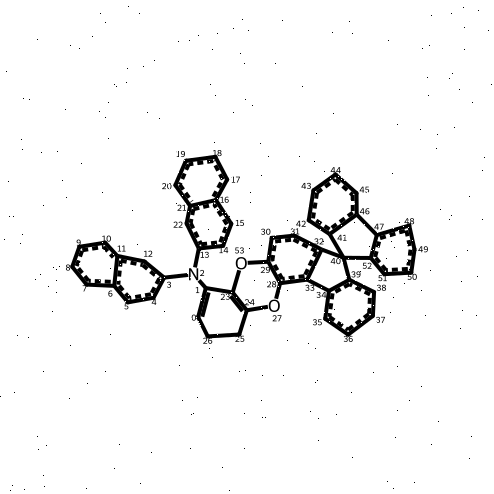 C1=C(N(c2ccc3ccccc3c2)c2ccc3ccccc3c2)C2=C(CC1)Oc1c(ccc3c1-c1ccccc1C31c3ccccc3-c3ccccc31)O2